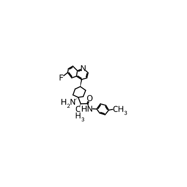 Cc1ccc(NC(=O)[C@H](C)[C@]2(N)CC[C@H](c3ccnc4ccc(F)cc43)CC2)cc1